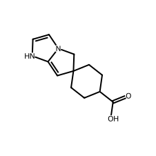 O=C(O)C1CCC2(C=C3NC=CN3C2)CC1